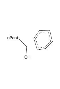 CCCCCCO.c1ccccc1